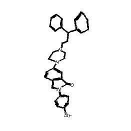 O=C1c2cc(N3CCN(CCC(c4ccccc4)c4ccccc4)CC3)ccc2CN1c1ccc(Br)cc1